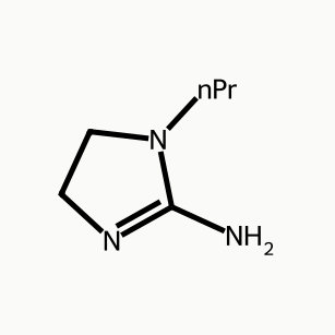 CCCN1CCN=C1N